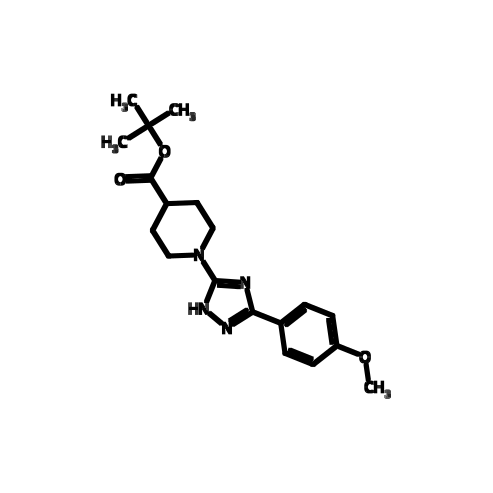 COc1ccc(-c2n[nH]c(N3CCC(C(=O)OC(C)(C)C)CC3)n2)cc1